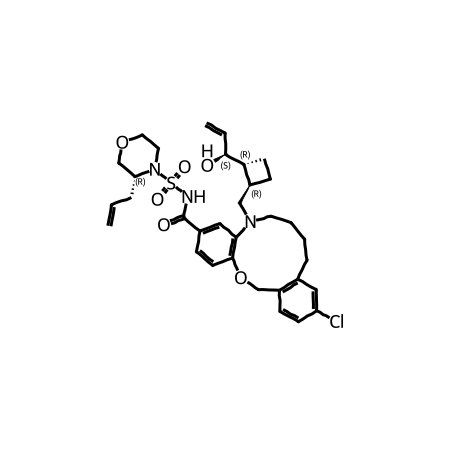 C=CC[C@@H]1COCCN1S(=O)(=O)NC(=O)c1ccc2c(c1)N(C[C@@H]1CC[C@H]1[C@@H](O)C=C)CCCCc1cc(Cl)ccc1CO2